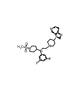 CS(=O)(=O)N1CCC([C@@H](CCN2CCC(n3cnc4ccncc43)CC2)c2cc(F)cc(F)c2)CC1